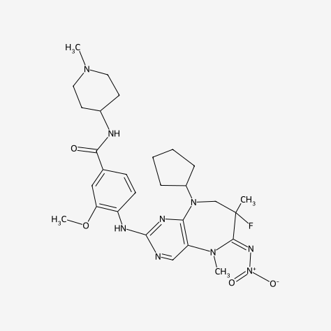 COc1cc(C(=O)NC2CCN(C)CC2)ccc1Nc1ncc2c(n1)N(C1CCCC1)CC(C)(F)C(=N[N+](=O)[O-])N2C